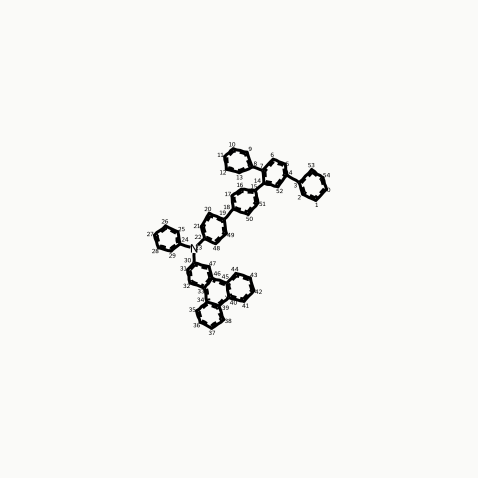 c1ccc(-c2ccc(-c3ccccc3)c(-c3ccc(-c4ccc(N(c5ccccc5)c5ccc6c7ccccc7c7ccccc7c6c5)cc4)cc3)c2)cc1